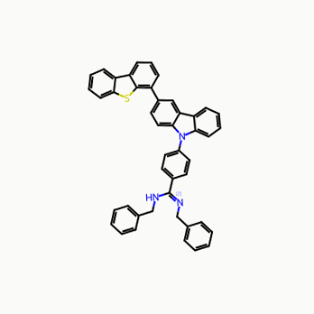 c1ccc(C/N=C(\NCc2ccccc2)c2ccc(-n3c4ccccc4c4cc(-c5cccc6c5sc5ccccc56)ccc43)cc2)cc1